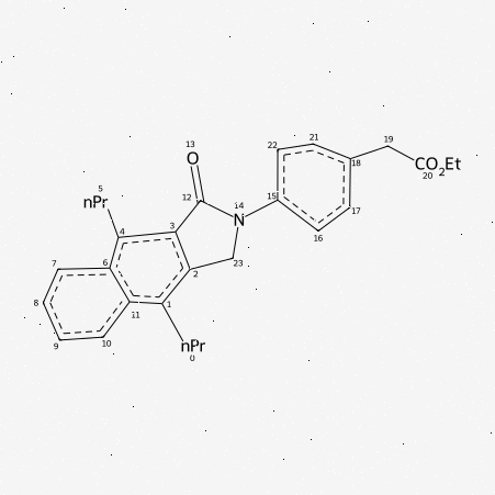 CCCc1c2c(c(CCC)c3ccccc13)C(=O)N(c1ccc(CC(=O)OCC)cc1)C2